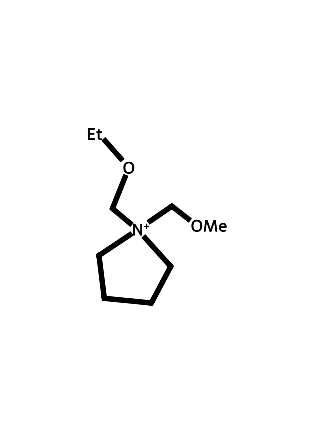 CCOC[N+]1(COC)CCCC1